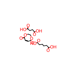 O=C(O)CCC(=O)O.O=C(O)CCCCC(=O)O.O=C1/C=C\C(=O)OCCO1